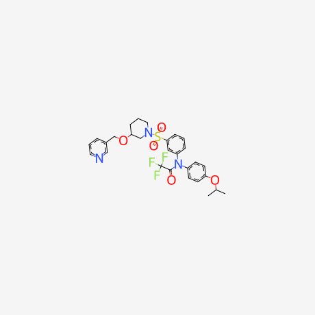 CC(C)Oc1ccc(N(C(=O)C(F)(F)F)c2cccc(S(=O)(=O)N3CCCC(OCc4cccnc4)C3)c2)cc1